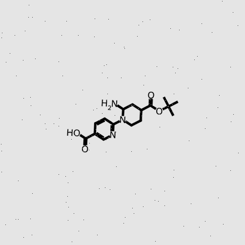 CC(C)(C)OC(=O)C1CCN(c2ccc(C(=O)O)cn2)C(N)C1